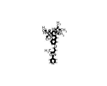 CCNP(=O)(CC(c1nc2ccc(OCCc3nc(-c4ccncc4)oc3C)cc2cc1OC)P(=O)(NCC)NCC)NCC